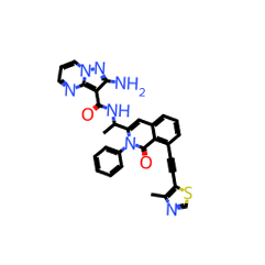 Cc1ncsc1C#Cc1cccc2cc(C(C)NC(=O)c3c(N)nn4cccnc34)n(-c3ccccc3)c(=O)c12